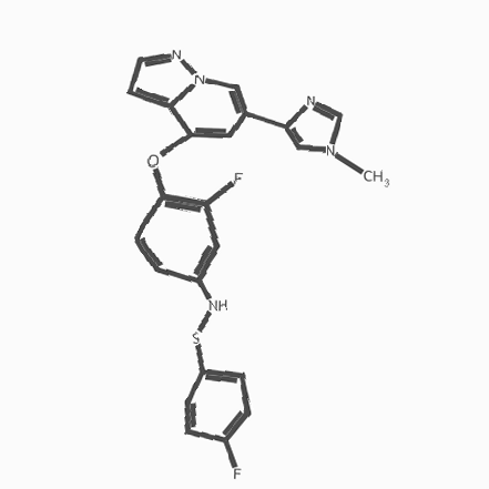 Cn1cnc(-c2cc(Oc3ccc(NSc4ccc(F)cc4)cc3F)c3ccnn3c2)c1